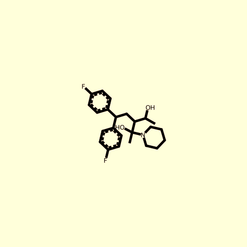 CC(O)C(CC(c1ccc(F)cc1)c1ccc(F)cc1)C(C)(O)N1CCCCC1